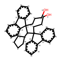 OCCCC1(C(C2CCCC2)C2(CCCO)c3ccccc3-c3ccccc32)c2ccccc2-c2ccccc21